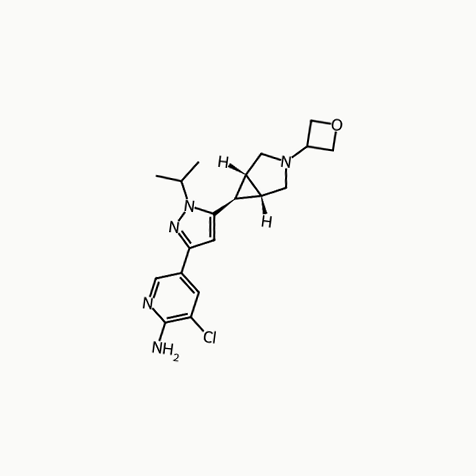 CC(C)n1nc(-c2cnc(N)c(Cl)c2)cc1[C@H]1[C@@H]2CN(C3COC3)C[C@@H]21